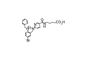 CCN(Cc1cc(Br)ccc1OCc1ccccc1)c1ccc(C(=O)NCCCCC(=O)O)cn1